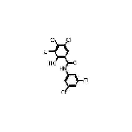 O=C(Nc1cc(Cl)cc(Cl)c1)c1cc(Cl)c(Cl)c(Cl)c1O